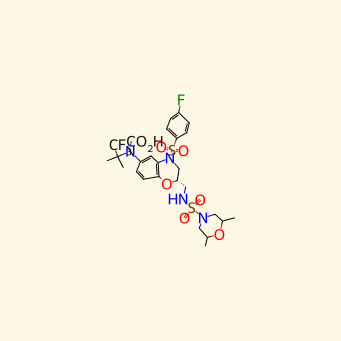 CC1CN(S(=O)(=O)NC[C@H]2CN(S(=O)(=O)c3ccc(F)cc3)c3cc(N(C(=O)O)C(C)(C)C(F)(F)F)ccc3O2)CC(C)O1